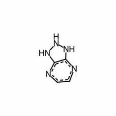 c1cnc2c(n1)NNN2